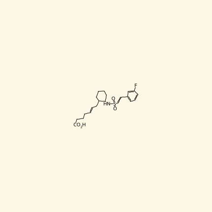 O=C(O)CCCC=CCC1CCCCC1NS(=O)(=O)C=Cc1cccc(F)c1